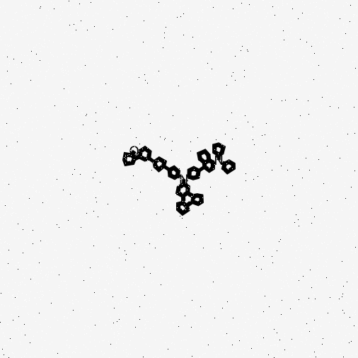 c1ccc(N(c2ccccc2)c2ccc(-c3ccc(N(c4ccc(-c5ccc(-c6ccc7oc8ccccc8c7c6)cc5)cc4)c4ccc5c6ccccc6c6ccccc6c5c4)cc3)c3ccccc23)cc1